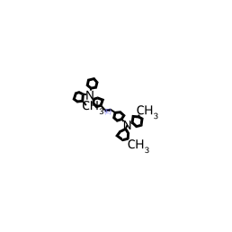 Cc1cccc(N(c2ccc(/C=C/c3ccc(N(c4ccccc4)c4ccccc4C)cc3)cc2)c2cccc(C)c2)c1